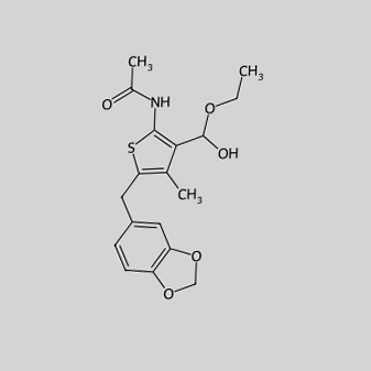 CCOC(O)c1c(NC(C)=O)sc(Cc2ccc3c(c2)OCO3)c1C